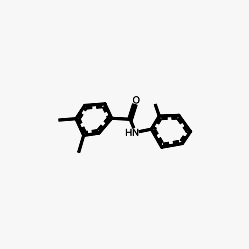 Cc1ccc(C(=O)Nc2ccccc2C)cc1C